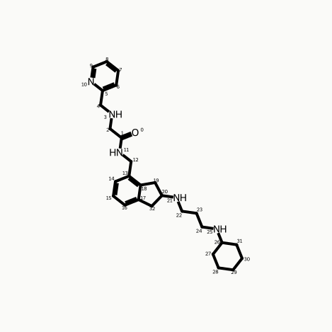 O=C(CNCc1ccccn1)NCc1cccc2c1CC(NCCCNC1CCCCC1)C2